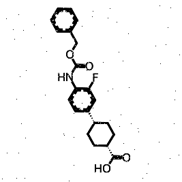 O=C(Nc1ccc([C@H]2CC[C@@H](C(=O)O)CC2)cc1F)OCc1ccccc1